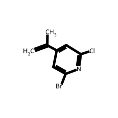 C=C(C)c1cc(Cl)nc(Br)c1